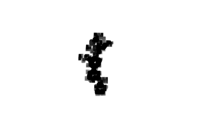 CC(C)CC(C)(COc1ccc(-c2ccnc(Nc3nccs3)n2)cc1C(F)(F)F)OC(N)=O